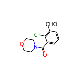 O=Cc1cccc(C(=O)N2CCOCC2)c1Cl